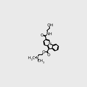 CN(C)CCOC(=O)c1c2ccccc2n2cc(C(=O)NCCO)ccc12